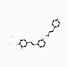 COc1cc(/C=C/c2cccc(NC(=O)/C=C/c3ccc(F)cc3)c2)cc(OC)c1OC